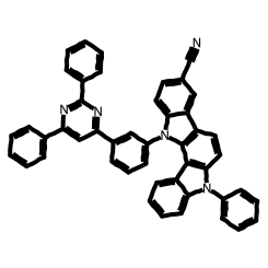 N#Cc1ccc2c(c1)c1ccc3c(c4ccccc4n3-c3ccccc3)c1n2-c1cccc(-c2cc(-c3ccccc3)nc(-c3ccccc3)n2)c1